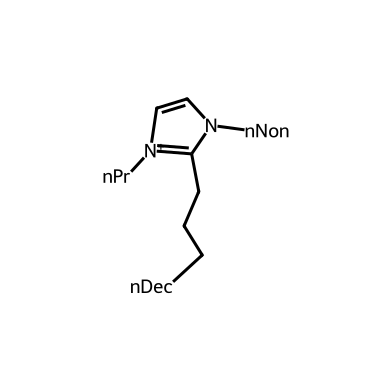 CCCCCCCCCCCCCc1n(CCCCCCCCC)cc[n+]1CCC